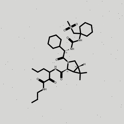 CCCNC(=O)C(=O)C(CCC)NC(=O)[C@@H]1C2[C@H](CN1C(=O)[C@@H](NC(=O)NC1(CS(C)(=O)=O)CCCCC1)C1CCCCC1)C2(C)C